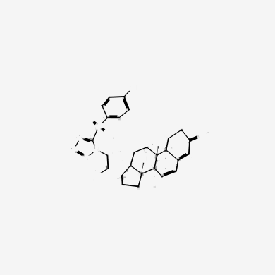 Cc1ccc(S(=O)(=O)c2nnnn2CC(C)[C@H]2CC[C@H]3[C@@H]4C=CC5=CC(=O)CC[C@]5(C)[C@H]4CC[C@]23C)cc1